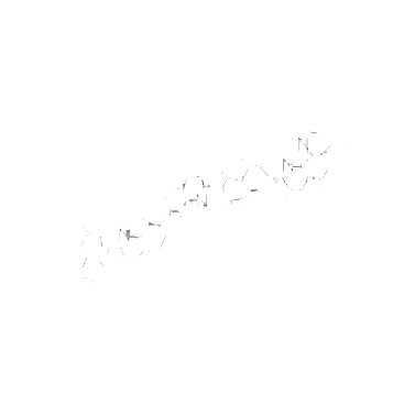 c1ccc2c(-c3ccc4ccc(-c5ccc6ccc(-c7ccc8cc(-c9ccc%10ccc%11cccnc%11c%10n9)ccc8c7)nc6c5)cc4n3)cccc2c1